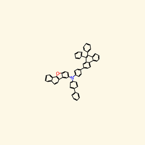 c1ccc(-c2ccc(N(c3ccc(-c4ccc5c(c4)c(-c4ccccc4)c(-c4ccccc4)c4ccccc45)cc3)c3ccc4oc5c6ccccc6ccc5c4c3)cc2)cc1